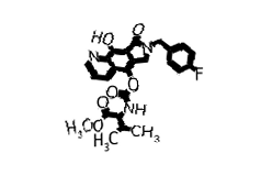 COC(=O)C(NC(=O)Oc1c2c(c(O)c3ncccc13)C(=O)N(Cc1ccc(F)cc1)C2)C(C)C